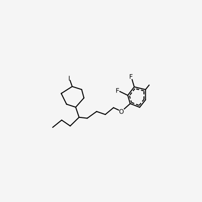 CCCC(CCCCOc1ccc(C)c(F)c1F)C1CCC(I)CC1